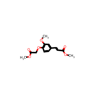 COC(=O)C=Cc1ccc(OCC(=O)OC)c(OC)c1